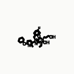 CCN1c2nc(-c3ccc(OC4CCCCC4)nc3C)n(Cc3ccc(F)cc3)c2C(=O)N(CCCO)C1O